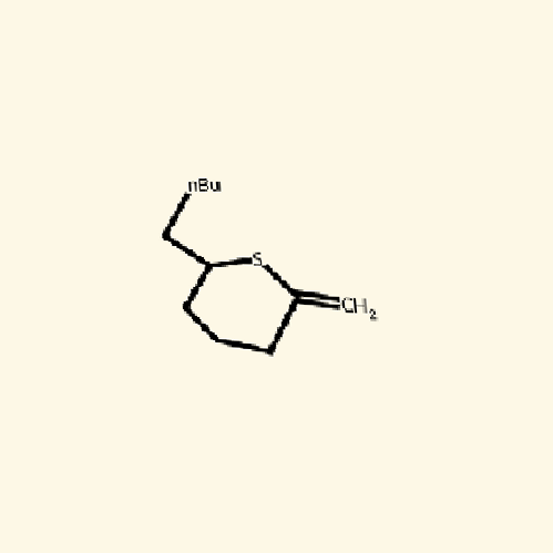 C=C1CCCC(CCCCC)S1